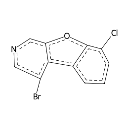 Clc1cccc2c1oc1cncc(Br)c12